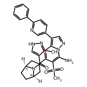 Cc1n[nH]cc1C(=O)N1[C@@H]2CC[C@H]1CC(c1nc3c(-c4ccc(-c5ccccc5)nc4)cnn3c(N)c1S(C)(=O)=O)C2